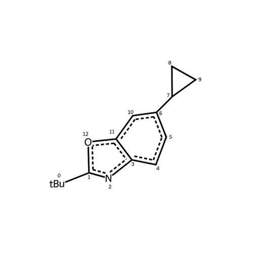 CC(C)(C)c1nc2ccc(C3CC3)cc2o1